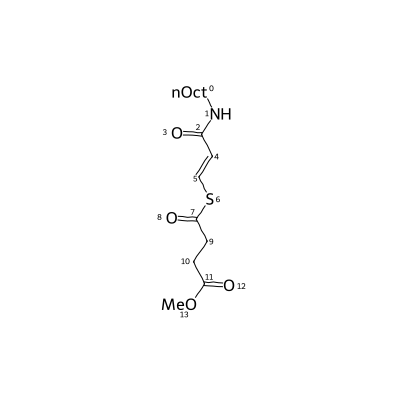 CCCCCCCCNC(=O)C=CSC(=O)CCC(=O)OC